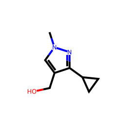 Cn1cc(CO)c(C2CC2)n1